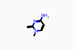 C=C1N=C(N)C=CN1C